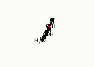 CS(=O)(=O)c1ccc([C@H](CO)Oc2ccc(-c3cn(C(=O)NCCCOc4ccccc4)cn3)cc2)cc1